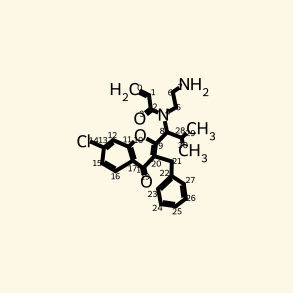 C=CC(=O)N(CCN)C(c1oc2cc(Cl)ccc2c(=O)c1Cc1ccccc1)C(C)C